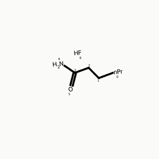 CCCCCC(N)=O.F